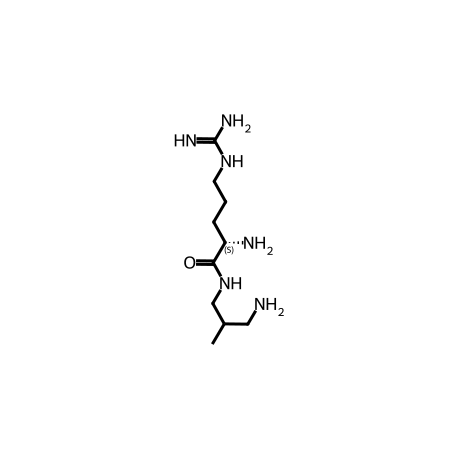 CC(CN)CNC(=O)[C@@H](N)CCCNC(=N)N